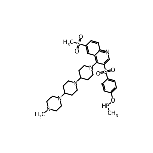 CPOc1ccc(S(=O)(=O)c2cnc3ccc(S(C)(=O)=O)cc3c2N2CCC(N3CCC(N4CCN(C)CC4)CC3)CC2)cc1